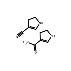 N#CC1=CNCC1.NC(=O)C1=CNCC1